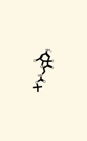 CC(C)(C)OC(=O)NCCC(=O)C1(Cl)C=C(N)C=C(Cl)C1O